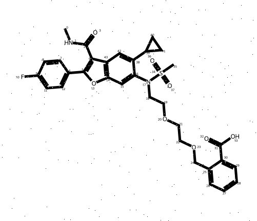 CNC(=O)c1c(-c2ccc(F)cc2)oc2cc(N(CCOCCOCc3ccccc3C(=O)O)S(C)(=O)=O)c(C3CC3)cc12